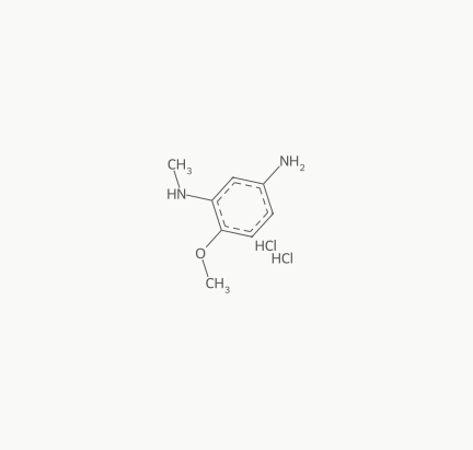 CNc1cc(N)ccc1OC.Cl.Cl